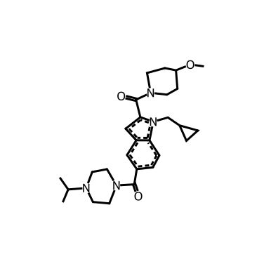 COC1CCN(C(=O)c2cc3cc(C(=O)N4CCN(C(C)C)CC4)ccc3n2CC2CC2)CC1